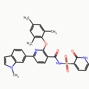 Cc1cc(C)c(Oc2nc(-c3ccc4ccn(C)c4c3)ccc2C(=O)NS(=O)(=O)c2ccc[nH]c2=O)c(C)c1